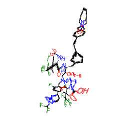 COC(=O)N[C@H](C(=O)N[C@@H](Cc1ccc(C#Cc2ccc(N3CC4CCC(C3)N4C3COC3)cc2)cc1)[C@@H](O)CN(Cc1c(F)cc(-c2ccn(C(F)F)n2)cc1F)NC(=O)[C@@H](NC(=O)O)C(C)(C)C(F)(F)F)C(C)(C)C(F)(F)F